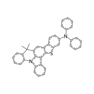 CC1(C)c2ccccc2-n2c3ccccc3c3c4sc5cc(N(c6ccccc6)c6ccccc6)ccc5c4cc1c32